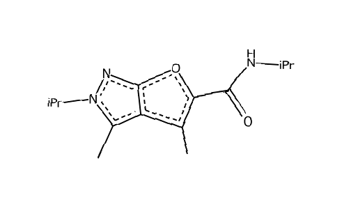 Cc1c(C(=O)NC(C)C)oc2nn(C(C)C)c(C)c12